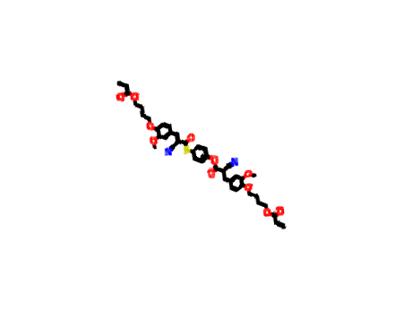 C=CC(=O)OCCCCOc1ccc(/C=C(\C#N)C(=O)Oc2ccc(SC(=O)/C(C#N)=C/c3ccc(OCCCCOC(=O)C=C)c(OC)c3)cc2)cc1OC